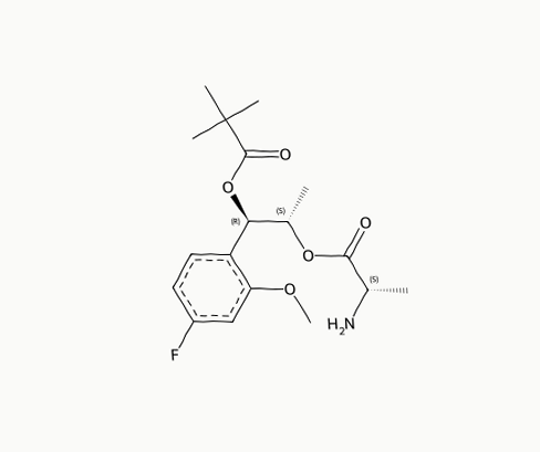 COc1cc(F)ccc1[C@@H](OC(=O)C(C)(C)C)[C@H](C)OC(=O)[C@H](C)N